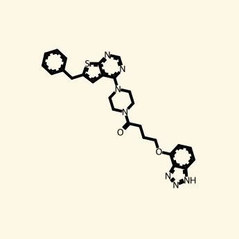 O=C(CCCOc1cccc2[nH]nnc12)N1CCN(c2ncnc3sc(Cc4ccccc4)cc23)CC1